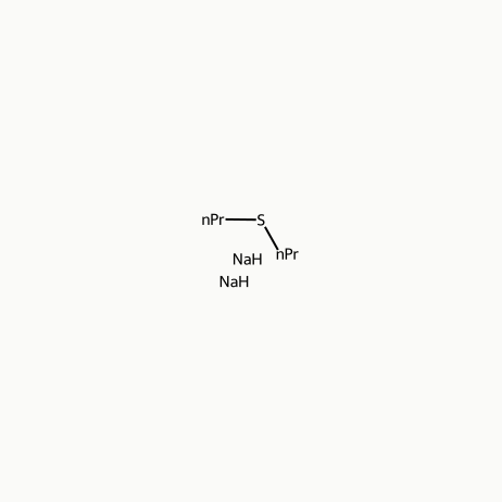 CCCSCCC.[NaH].[NaH]